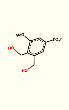 COc1cc(C(=O)O)cc(CO)c1CO